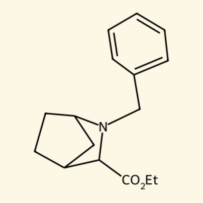 CCOC(=O)C1C2CCC(C2)N1Cc1ccccc1